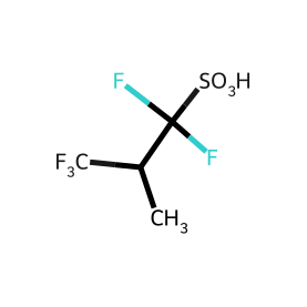 CC(C(F)(F)F)C(F)(F)S(=O)(=O)O